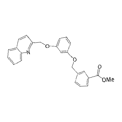 COC(=O)c1cccc(COc2cccc(OCc3ccc4ccccc4n3)c2)c1